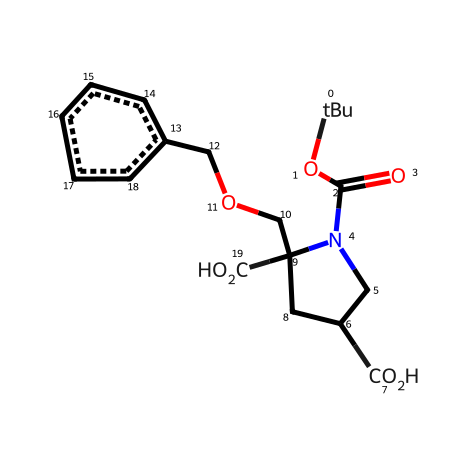 CC(C)(C)OC(=O)N1CC(C(=O)O)CC1(COCc1ccccc1)C(=O)O